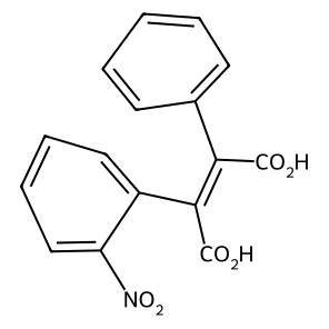 O=C(O)C(=C(C(=O)O)c1ccccc1[N+](=O)[O-])c1ccccc1